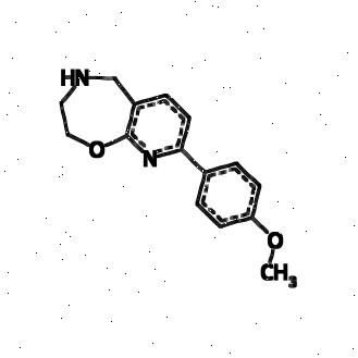 COc1ccc(-c2ccc3c(n2)OCCNC3)cc1